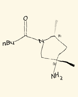 CCCCC(=O)N1C[C@@](C)(N)C[C@H]1C